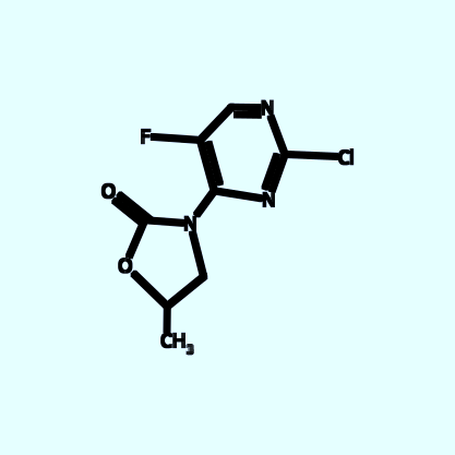 CC1CN(c2nc(Cl)ncc2F)C(=O)O1